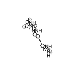 COC(=O)N[C@H](C(=O)N1CCC[C@H]1c1nc2ccc3cc(C#Cc4ccc5nc([C@@H]6CC[C@H](C)N6)[nH]c5c4)ccc3c2[nH]1)C1CCOCC1